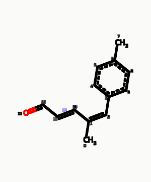 CC(=Cc1ccc(C)cc1)/C=C/C=O